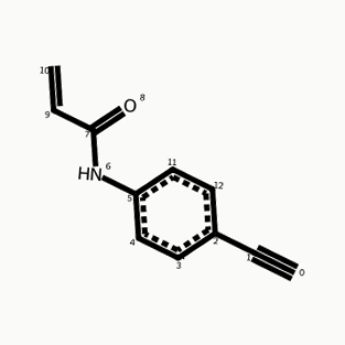 C#Cc1[c]cc(NC(=O)C=C)cc1